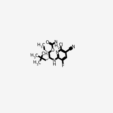 CC[C@H](OC(N)=O)[C@@H](CC(C)(C)C)Nc1nc(Cl)c(C#N)cc1F